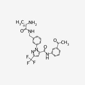 CC(=O)c1cccc(NC(=O)c2cc(C(F)(F)F)nn2-c2cccc(CNC(=O)[C@H](C)N)c2)c1